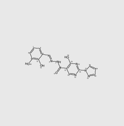 O=C(N/N=C/c1cccc(O)c1O)c1cnc(-n2cccn2)nc1O